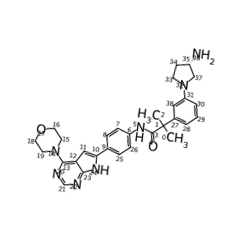 CC(C)(C(=O)Nc1ccc(-c2cc3c(N4CCOCC4)ncnc3[nH]2)cc1)c1cccc(N2CC[C@H](N)C2)c1